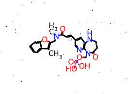 Cc1c(CN(C)C(=O)/C=C/c2cnc3c(c2)NCCC(=O)N3COP(=O)(O)O)oc2ccccc12